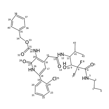 CCCNC(=O)C(F)(F)C(O)C(NC(=O)Cc1cc(-c2ccccc2Cl)[nH]c(=O)c1NC(=O)OCc1ccccc1)C(C)C